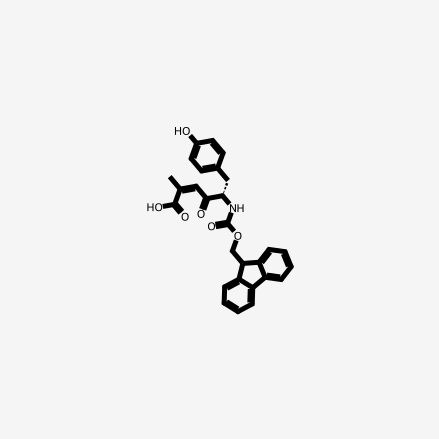 CC(=CC(=O)[C@H](Cc1ccc(O)cc1)NC(=O)OCC1c2ccccc2-c2ccccc21)C(=O)O